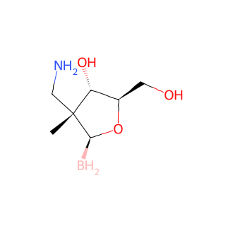 B[C@@H]1O[C@H](CO)[C@@H](O)[C@@]1(C)CN